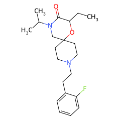 CCC1OC2(CCN(CCc3ccccc3F)CC2)CN(C(C)C)C1=O